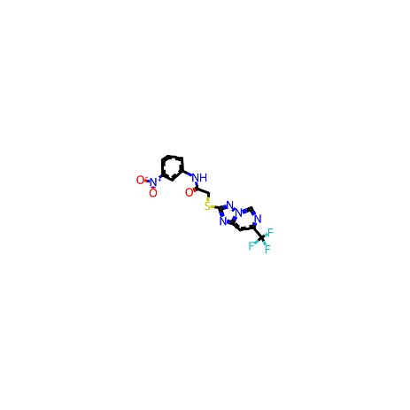 O=C(CSc1nc2cc(C(F)(F)F)ncn2n1)Nc1cccc([N+](=O)[O-])c1